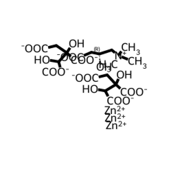 C[N+](C)(C)C[C@H](O)CC(=O)[O-].O=C([O-])CC(O)(C(=O)[O-])C(O)C(=O)[O-].O=C([O-])CC(O)(C(=O)[O-])C(O)C(=O)[O-].[Zn+2].[Zn+2].[Zn+2]